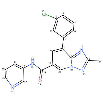 Cc1nc2c(-c3cccc(Cl)c3)cc(C(=O)Nc3cccnc3)cn2n1